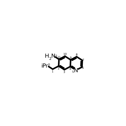 CC(C)Cc1cc2ncccc2cc1N